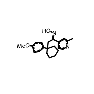 COc1ccc(C2(C/C(=N\O)c3ccnc(C)c3)CCCCC2)cc1